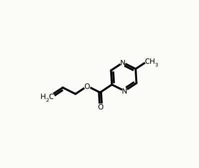 C=CCOC(=O)c1cnc(C)cn1